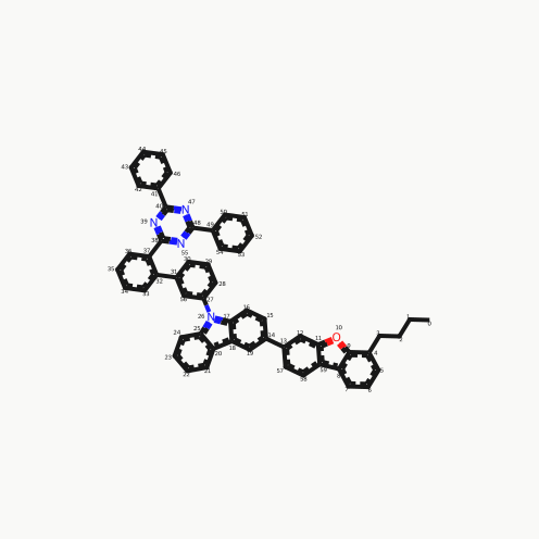 CCCCc1cccc2c1oc1cc(-c3ccc4c(c3)c3ccccc3n4-c3cccc(-c4ccccc4-c4nc(-c5ccccc5)nc(-c5ccccc5)n4)c3)ccc12